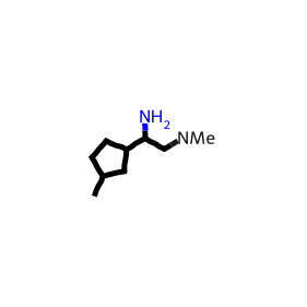 CNCC(N)C1CCC(C)C1